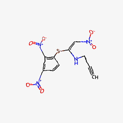 C#CCNC(=C[N+](=O)[O-])Sc1ccc([N+](=O)[O-])cc1[N+](=O)[O-]